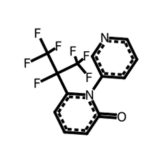 O=c1cccc(C(F)(C(F)(F)F)C(F)(F)F)n1-c1cccnc1